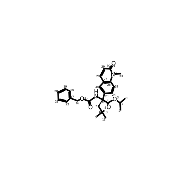 CC(C)OC(=O)[C@](CC(C)(C)C)(NC(=O)OCc1ccccc1)c1ccc2c(ccc(=O)n2C)c1